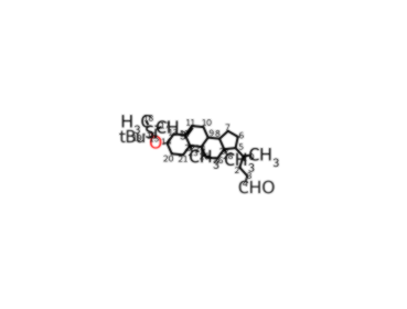 CC(CCC=O)C1CCC2C3CC=C4C[C@@H](O[Si](C)(C)C(C)(C)C)CCC4(C)C3CCC12C